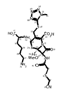 CO[C@@]1(NC(=O)CSCC#N)C(=O)N2C(C(=O)O)=C(CSc3nnnn3C)CS[C@@H]21.NCCCCC(N)C(=O)O